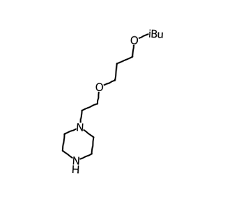 CCC(C)OCCCOCCN1CCNCC1